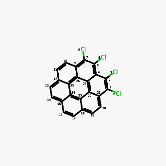 Clc1c(Cl)c2c(Cl)c(Cl)c3ccc4ccc5ccc6ccc1c1c6c5c4c3c21